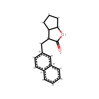 O=C1OC2CCCC2C1Cc1ccc2ccccc2c1